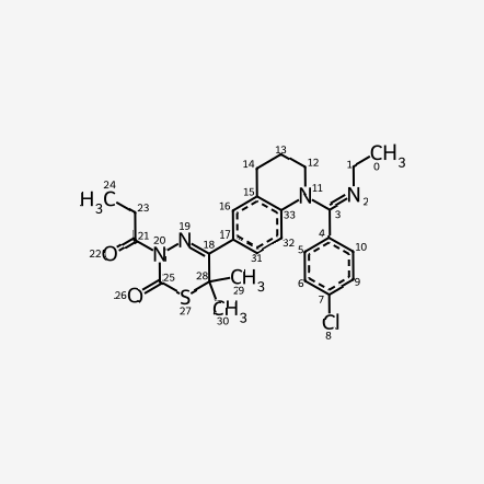 CC/N=C(/c1ccc(Cl)cc1)N1CCCc2cc(C3=NN(C(=O)CC)C(=O)SC3(C)C)ccc21